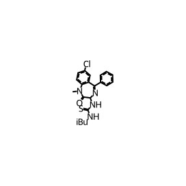 CCC(C)NC(=S)NC1N=C(c2ccccc2)c2cc(Cl)ccc2N(C)C1=O